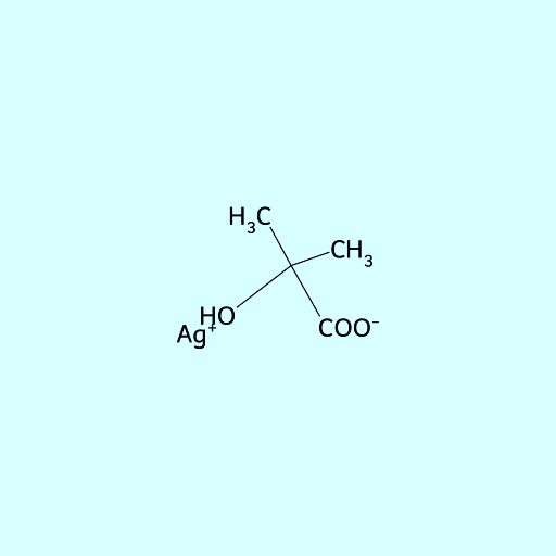 CC(C)(O)C(=O)[O-].[Ag+]